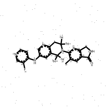 [2H]C1([2H])Cc2ncc(Nc3ccncc3F)cc2C([2H])([2H])N1c1nc2c(cc1C)C(=O)NC2